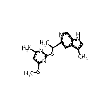 CSc1cc(N)nc(SC(C)c2cc3c(C)c[nH]c3cn2)n1